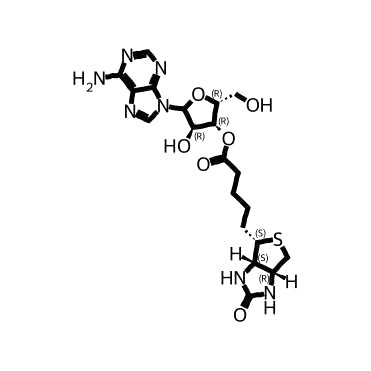 Nc1ncnc2c1ncn2C1O[C@H](CO)[C@H](OC(=O)CCCC[C@@H]2SC[C@@H]3NC(=O)N[C@@H]32)[C@H]1O